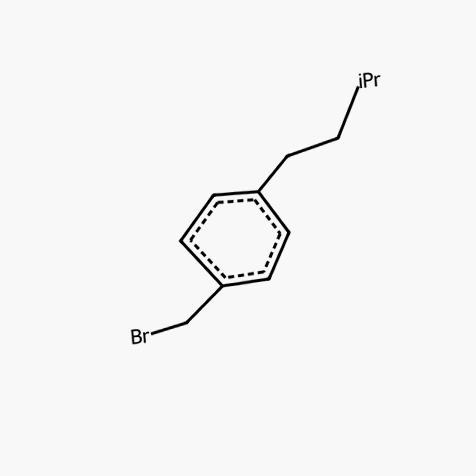 CC(C)CCc1ccc(CBr)cc1